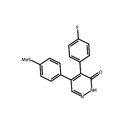 CSc1ccc(-c2cn[nH]c(=O)c2-c2ccc(F)cc2)cc1